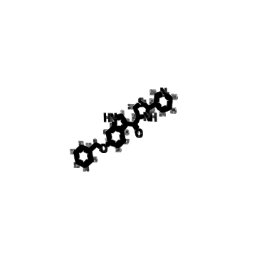 O=C(c1c[nH]c2cc(OCc3ccccc3)ccc12)C1CSC(c2cccnc2)N1